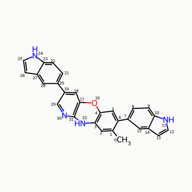 Cc1cc2c(cc1-c1ccc3[nH]ccc3c1)Oc1cc(-c3ccc4[nH]ccc4c3)cnc1N2